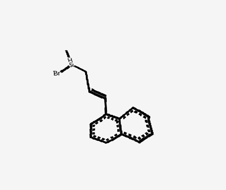 C[SiH](Br)CC=Cc1cccc2ccccc12